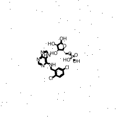 Clc1ccc(Cl)c(CNc2ncnc3nc[nH]c23)c1.O=P(O)(O)OC[C@H]1OC(O)[C@H](O)[C@@H]1O